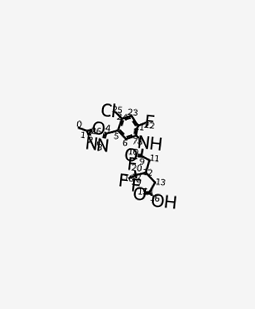 Cc1nnc(-c2cc(NC(=O)CC(CC(=O)O)C(F)(F)F)c(F)cc2Cl)o1